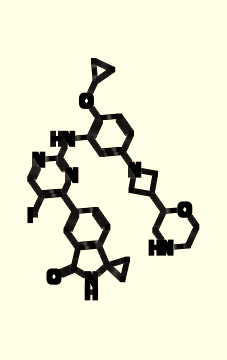 O=C1NC2(CC2)c2ccc(-c3nc(Nc4cc(N5CC(C6CNCCO6)C5)ccc4OC4CC4)ncc3F)cc21